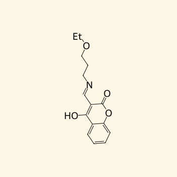 CCOCCCN=Cc1c(O)c2ccccc2oc1=O